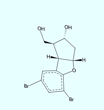 OC[C@@H]1[C@H]2c3cc(Br)cc(Br)c3O[C@H]2C[C@H]1O